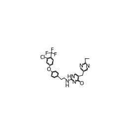 CCc1ncc(Cc2c[nH]c(NCCc3ccc(Oc4ccc(C(F)(F)F)c(Cl)c4)cc3)nc2=O)cn1